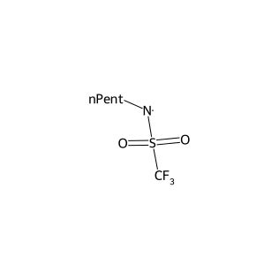 CCCCC[N]S(=O)(=O)C(F)(F)F